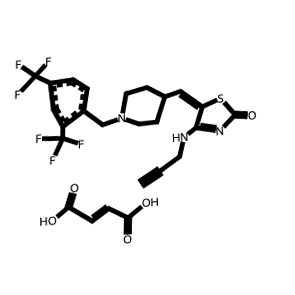 C#CCNC1=NC(=O)SC1=CC1CCN(Cc2ccc(C(F)(F)F)cc2C(F)(F)F)CC1.O=C(O)C=CC(=O)O